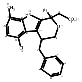 CCC1(CC(=O)O)OCC(Cc2ccccc2)c2c1[nH]c1c(C)ccc(Cl)c21